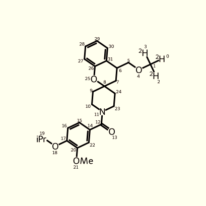 [2H]C([2H])([2H])OCC1CC2(CCN(C(=O)c3ccc(OC(C)C)c(OC)c3)CC2)Oc2ccccc21